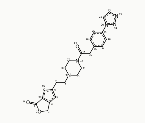 O=C1OCc2cc(CCN3CCN(C(=O)Cc4ccc(-n5ccnn5)cc4)CC3)sc21